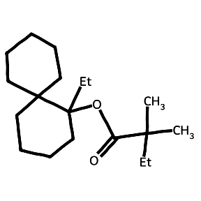 CCC(C)(C)C(=O)OC1(CC)CCCCC12CCCCC2